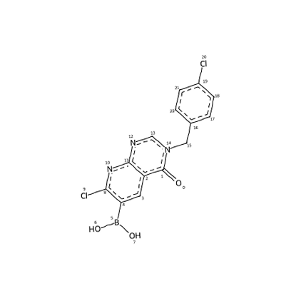 O=c1c2cc(B(O)O)c(Cl)nc2ncn1Cc1ccc(Cl)cc1